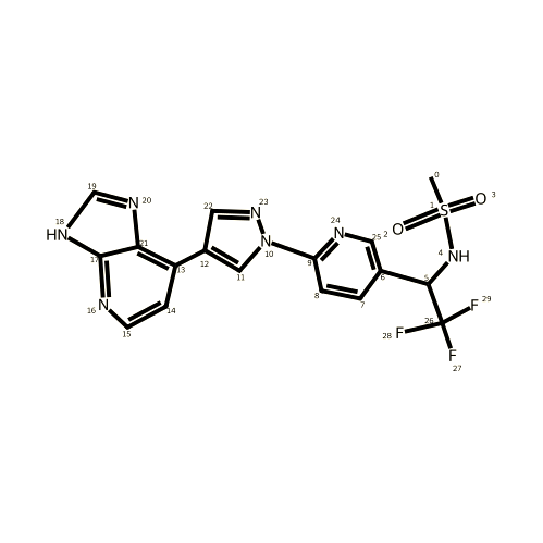 CS(=O)(=O)NC(c1ccc(-n2cc(-c3ccnc4[nH]cnc34)cn2)nc1)C(F)(F)F